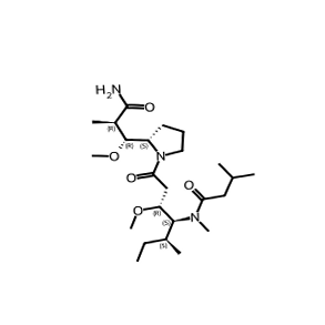 CC[C@H](C)[C@@H]([C@@H](CC(=O)N1CCC[C@H]1[C@H](OC)[C@@H](C)C(N)=O)OC)N(C)C(=O)CC(C)C